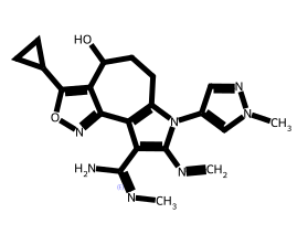 C=Nc1c(/C(N)=N\C)c2c(n1-c1cnn(C)c1)CCC(O)c1c-2noc1C1CC1